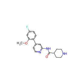 COc1cc(F)ccc1-c1ccnc(NC(=O)C2CCNCC2)c1